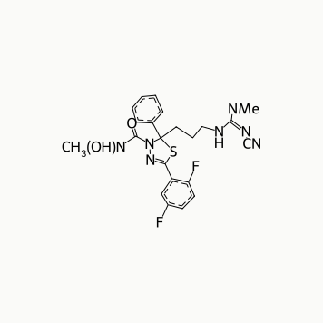 CN/C(=N/C#N)NCCCC1(c2ccccc2)SC(c2cc(F)ccc2F)=NN1C(=O)N(C)O